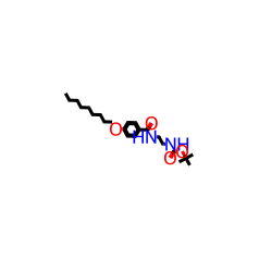 CCCCCCCCCOc1ccc(C(=O)NCCNC(=O)OC(C)(C)C)cc1